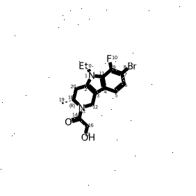 CCn1c2c(c3ccc(Br)c(F)c31)CN(C(=O)CO)[C@H](C)C2